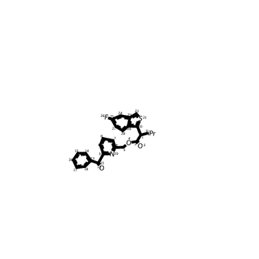 CC(C)C(C(=O)OCc1cccc(C(=O)c2ccccc2)n1)c1scc2cc(F)ccc12